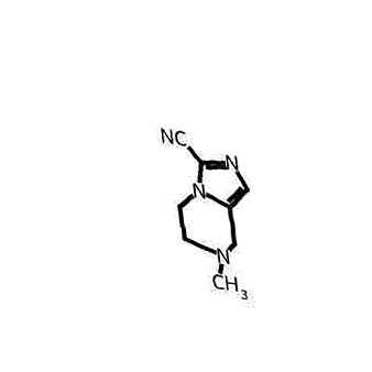 CN1CCn2c(cnc2C#N)C1